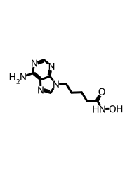 Nc1ncnc2c1ncn2CCCCC(=O)NO